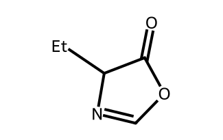 CCC1N=COC1=O